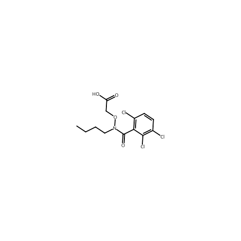 CCCCN(OCC(=O)O)C(=O)c1c(Cl)ccc(Cl)c1Cl